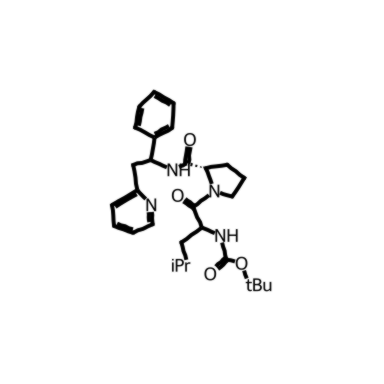 CC(C)CC(NC(=O)OC(C)(C)C)C(=O)N1CCC[C@H]1C(=O)NC(Cc1ccccn1)c1ccccc1